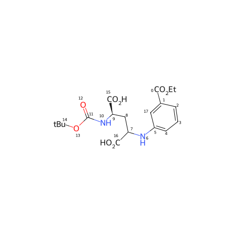 CCOC(=O)c1cccc(NC(C[C@@H](NC(=O)OC(C)(C)C)C(=O)O)C(=O)O)c1